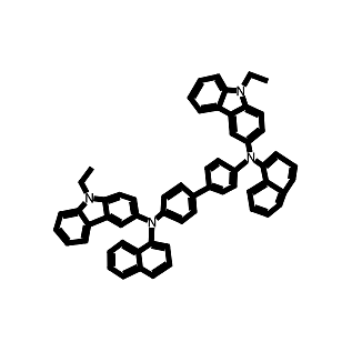 CCn1c2ccccc2c2cc(N(c3ccc(-c4ccc(N(c5ccc6c(c5)c5ccccc5n6CC)c5cccc6ccccc56)cc4)cc3)c3cccc4ccccc34)ccc21